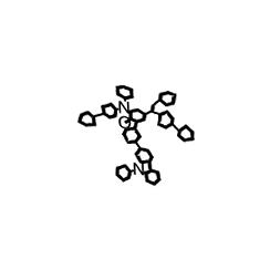 C(=C(/c1ccc(-c2ccccc2)cc1)c1cc(N(c2ccccc2)c2ccc(-c3ccccc3)cc2)c2oc3ccc(-c4ccc5c6ccccc6n(-c6ccccc6)c5c4)cc3c2c1)/c1ccccc1